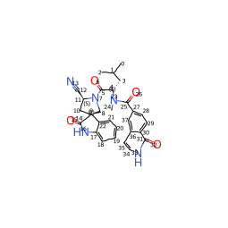 CC(C)C[C@@H](C(=O)N1C[C@]2(C[C@H]1C#N)C(=O)Nc1ccccc12)N(C)C(=O)c1ccc2c(=O)[nH]ccc2c1